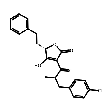 C[C@H](Cc1ccc(Cl)cc1)C(=O)C1=C(O)[C@H](CCc2ccccc2)OC1=O